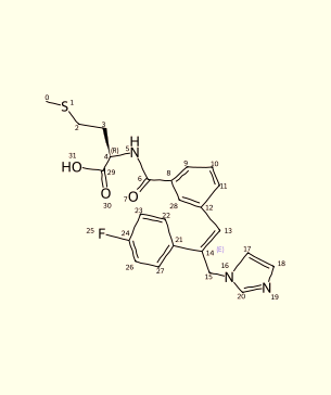 CSCC[C@@H](NC(=O)c1cccc(/C=C(/Cn2ccnc2)c2ccc(F)cc2)c1)C(=O)O